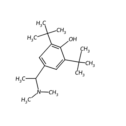 CC(c1cc(C(C)(C)C)c(O)c(C(C)(C)C)c1)N(C)C